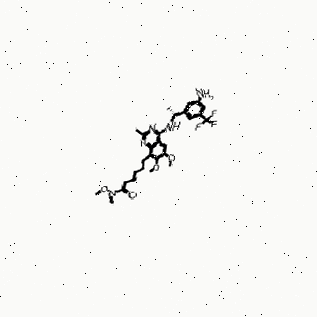 COc1cc2c(N[C@H](C)c3cc(N)cc(C(F)(F)F)c3)nc(C)nc2c(CCCCCC(=O)N(C)OC)c1OC